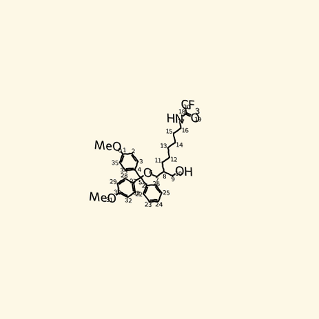 COc1ccc(C(OCC(CO)CCCCCCNC(=O)C(F)(F)F)(c2ccccc2)c2ccc(OC)cc2)cc1